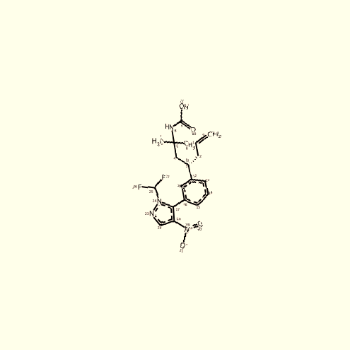 C=CC[C@@H](CC(C)(C)NC(=O)O)c1cccc(-c2c([N+](=O)[O-])cnn2C(F)F)c1